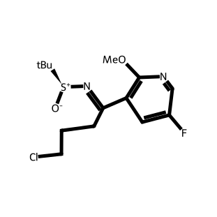 COc1ncc(F)cc1/C(CCCCl)=N/[S@@+]([O-])C(C)(C)C